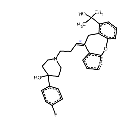 CC(C)(O)c1cccc2c1C/C(=C/CCN1CCC(O)(c3ccc(F)cc3)CC1)c1cccnc1O2